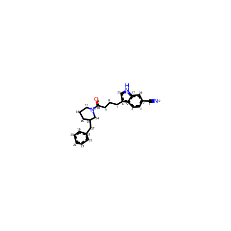 N#Cc1ccc2c(CCCC(=O)N3CCCC(Cc4ccccc4)C3)c[nH]c2c1